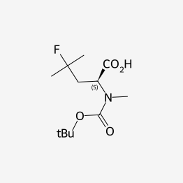 CN(C(=O)OC(C)(C)C)[C@@H](CC(C)(C)F)C(=O)O